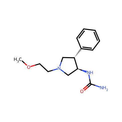 COCCN1C[C@H](NC(N)=O)[C@@H](c2ccccc2)C1